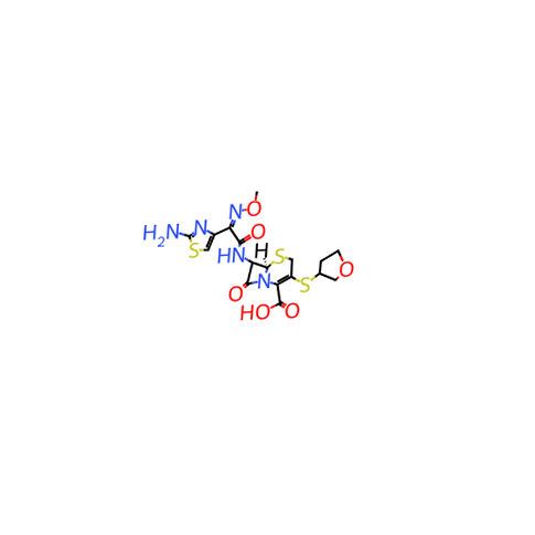 CO/N=C(\C(=O)NC1C(=O)N2C(C(=O)O)=C(SC3CCOC3)CS[C@H]12)c1csc(N)n1